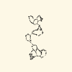 c1cc(-c2cccc(-c3cc4ccccc4c4ccccc34)c2)cc(-c2cc3c4c(cccc4c2)-c2ccccc2-3)c1